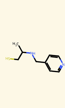 CC(CS)NCc1ccncc1